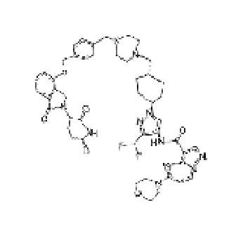 O=C1CCC(N2Cc3c(OCc4ccc(CN5CCN(C[C@H]6CC[C@H](n7cc(NC(=O)c8cnn9ccc(N%10CCOCC%10)nc89)c(C(F)F)n7)CC6)CC5)cc4)cccc3C2=O)C(=O)N1